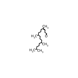 CC(=CCC=O)CCCC(C)CCCC(C)CCCC(C)C